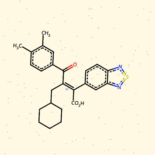 Cc1ccc(C(=O)/C(CC2CCCCC2)=C(/C(=O)O)c2ccc3nsnc3c2)cc1C